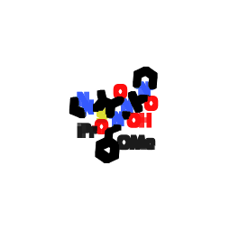 COc1ccccc1[C@H](CN1c2sc(-n3cccn3)c(C)c2C(=O)N(C(C)(C)C(=O)N2CCCCC2)C1O)OC(C)C